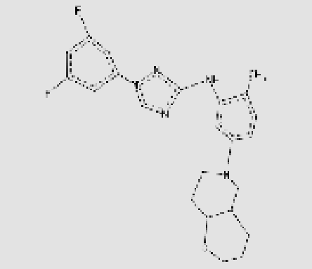 Cc1ccc(N2CCC3OCCCC3C2)cc1Nc1ncn(-c2cc(F)cc(F)c2)n1